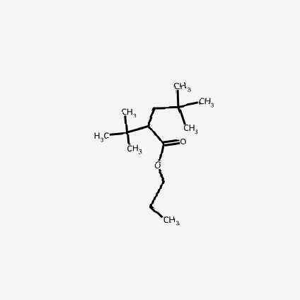 CCCOC(=O)C(CC(C)(C)C)C(C)(C)C